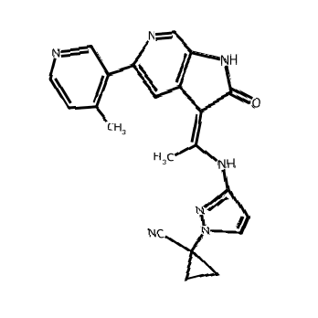 C/C(Nc1ccn(C2(C#N)CC2)n1)=C1/C(=O)Nc2cnc(-c3cnccc3C)cc21